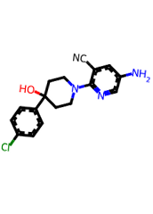 N#Cc1cc(N)cnc1N1CCC(O)(c2ccc(Cl)cc2)CC1